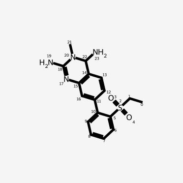 CCS(=O)(=O)c1ccccc1-c1ccc2c(c1)N=C(N)N(C)C2N